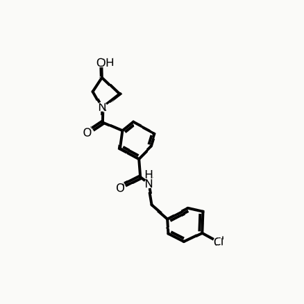 O=C(NCc1ccc(Cl)cc1)c1cccc(C(=O)N2CC(O)C2)c1